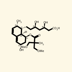 COCC(C)(COC)C(=O)O[C@H]1C[C@H](O)C=C2C=C[C@H](C)[C@H](CC[C@@H](O)C[C@@H](O)CC(=O)O)[C@H]21